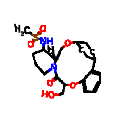 CS(=O)(=O)NC1CCCN2C(=O)C(CO)Oc3ccccc3C3CCC(CC3)OC[C@@H]12